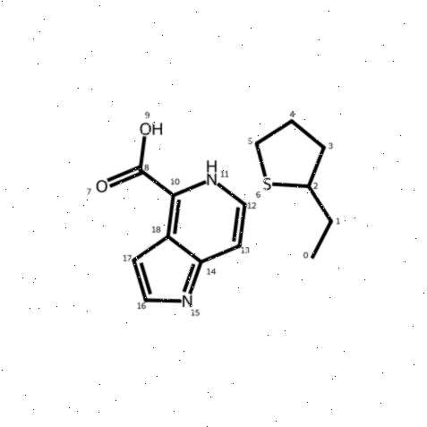 CCC1CCCS1.O=C(O)c1[nH]ccc2nccc1-2